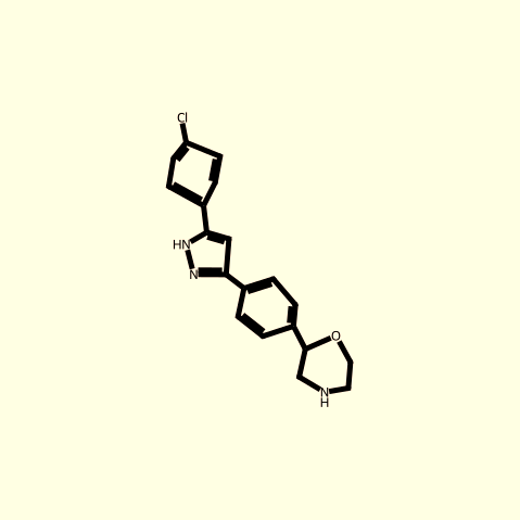 Clc1ccc(-c2cc(-c3ccc(C4CNCCO4)cc3)n[nH]2)cc1